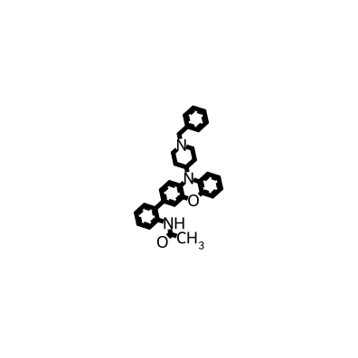 CC(=O)Nc1ccccc1-c1ccc2c(c1)Oc1ccccc1N2C1CCN(Cc2ccccc2)CC1